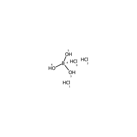 Cl.Cl.Cl.OB(O)O